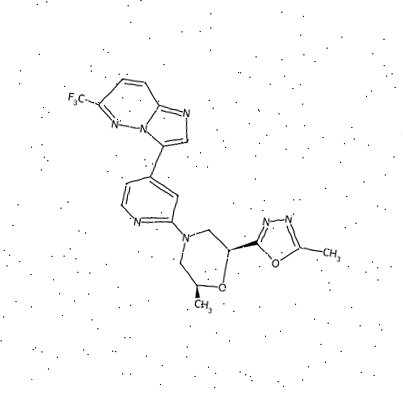 Cc1nnc([C@@H]2CN(c3cc(-c4cnc5ccc(C(F)(F)F)nn45)ccn3)C[C@H](C)O2)o1